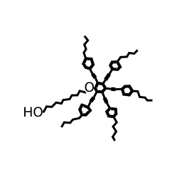 CCCCCc1ccc(C#Cc2c(C#Cc3ccc(CCCCC)cc3)c(C#Cc3ccc(CCCCC)cc3)c(OCCCCCCCCCCCO)c(C#Cc3ccc(CCCCC)cc3)c2C#Cc2ccc(CCCCC)cc2)cc1